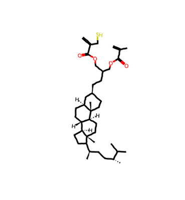 C=C(C)C(=O)OCC(CC[C@H]1CC[C@@]2(C)[C@@H](CC[C@@H]3[C@@H]2CC[C@]2(C)C([C@H](C)CC[C@@H](C)C(C)C)CC[C@@H]32)C1)COC(=O)C(=C)CS